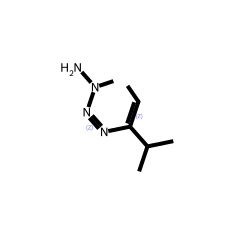 C/C=C(\N=N/N(C)N)C(C)C